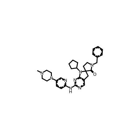 CN1CCN(c2ccc(Nc3ncc4c(n3)N(C3CCCC3)C3(CCN(Cc5ccccc5)C3=O)C4)nc2)CC1